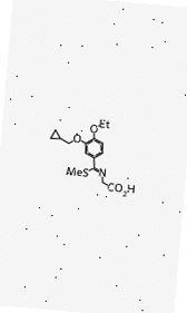 CCOc1ccc(C(=NCC(=O)O)SC)cc1OCC1CC1